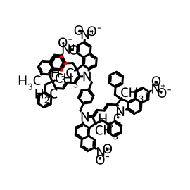 C=C(/C=C/C=C1/N(Cc2ccc(CN3/C(=C/C=C/C4=[N+](C)c5ccc6cc([N+](=O)[O-])ccc6c5C4(C)Cc4ccccc4)C(C)(Cc4ccccc4)c4c3ccc3ccc([N+](=O)[O-])cc43)cc2)c2ccc3cc([N+](=O)[O-])ccc3c2C1(C)Cc1ccccc1)C(C)(Cc1ccccc1)c1c(C)ccc2cc([N+](=O)[O-])ccc12